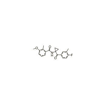 COc1cccc(C(=O)NC2(C(=O)c3ccc(F)c(C)c3)CC2)c1C